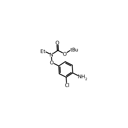 CCN(Oc1ccc(N)c(Cl)c1)C(=O)OC(C)(C)C